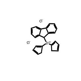 C1=CC[C]([Zr+2]([C]2=CC=CC2)[CH]2c3ccccc3-c3ccccc32)=C1.[Cl-].[Cl-]